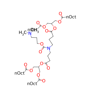 CCCCCCCCC(=O)OCC(COC(=O)CCCCCCCC)OC(=O)CCCN(CCCC(=O)OC(COC(=O)CCCCCCCC)COC(=O)CCCCCCCC)C(=O)OCCCN(C)C